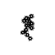 c1ccc(-c2ccc(-n3c4ccccc4c4cc(-c5ccc(N(c6ccccc6)c6cccc7c6c6ccccc6n7-c6ccccc6)c6c5C5c7ccccc7C57c5ccccc5C67)ccc43)cc2)cc1